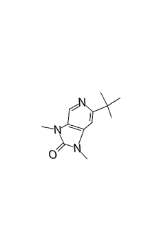 Cn1c(=O)n(C)c2cc(C(C)(C)C)ncc21